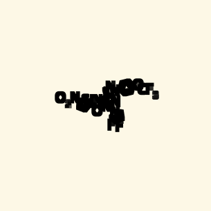 O=C(Nc1nc(N2CCC(F)(F)C2)nc2c1cnn2-c1ccc(OC(F)(F)F)cc1)c1ccc([N+](=O)[O-])s1